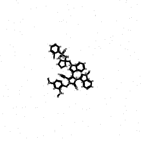 COc1ccc(Cn2c(C#N)c(-c3cn(CC4(NS(=O)(=O)c5ccccc5C)CCCC4)c4ccccc34)n(-c3cn(C)c4ccccc34)c2=O)c(OC)c1